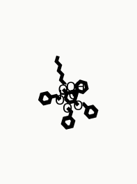 CCCCCCCOC1C(OCc2ccccc2)C(OCc2ccccc2)C(OCc2ccccc2)C2(O)C3(CCCCC3)C12O